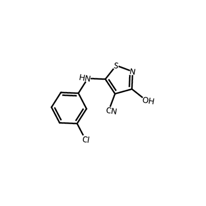 N#Cc1c(O)nsc1Nc1cccc(Cl)c1